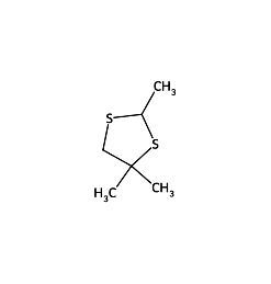 CC1SCC(C)(C)S1